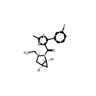 Cc1nc(C(=O)N2[C@H](CN)C[C@@H]3C[C@@H]32)c(-c2cccc(F)c2)s1